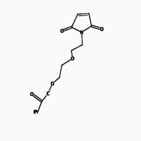 CC(C)C(=O)COCCOCCN1C(=O)C=CC1=O